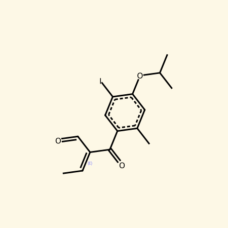 C/C=C(\C=O)C(=O)c1cc(I)c(OC(C)C)cc1C